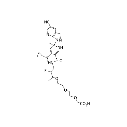 CC(OCCOCCOCC(=O)O)C(F)CNC(=O)C1=CNC(C)(n2ncc3cc(C#N)cnc32)C=C1NC1CC1